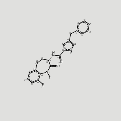 CN1C(=O)[C@@H](NC(=O)n2cc(Cc3ccccc3)cn2)COc2cccc(F)c21